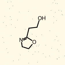 OCCC1=NCCO1